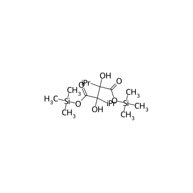 CC(C)C(O)(C(=O)O[Si](C)(C)C)C(O)(C(=O)O[Si](C)(C)C)C(C)C